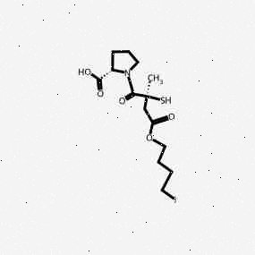 C[C@](S)(CC(=O)OCCCCI)C(=O)N1CCC[C@H]1C(=O)O